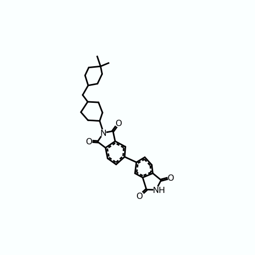 CC1(C)CCC(CC2CCC(N3C(=O)c4ccc(-c5ccc6c(c5)C(=O)NC6=O)cc4C3=O)CC2)CC1